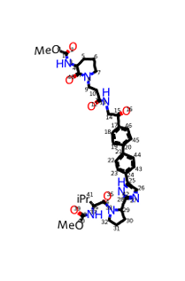 COC(=O)NC1CCCN(CCC(=O)NCC(=O)c2ccc(-c3ccc(-c4cnc(C5CCCN5C(=O)C(NC(=O)OC)C(C)C)[nH]4)cc3)cc2)C1=O